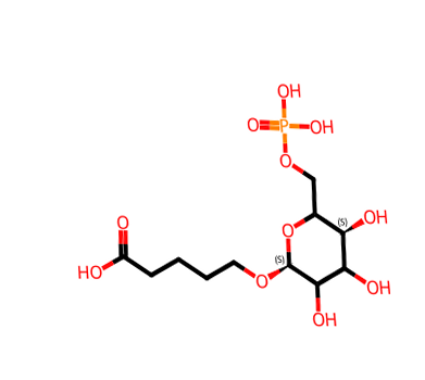 O=C(O)CCCCO[C@H]1OC(COP(=O)(O)O)[C@@H](O)C(O)C1O